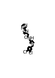 O=C(Cc1csc(-c2cnccn2)n1)NCC1CCN(Cc2ccc(Cl)c(Cl)c2)C1